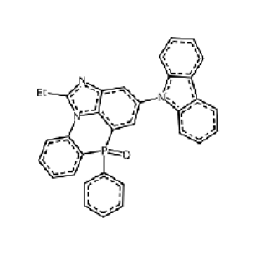 CCc1nc2cc(-n3c4ccccc4c4ccccc43)cc3c2n1-c1ccccc1P3(=O)c1ccccc1